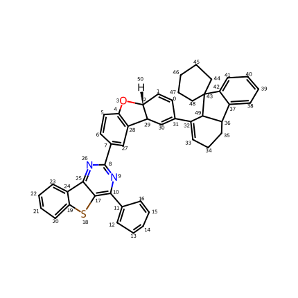 C1=C[C@H]2Oc3ccc(-c4nc(-c5ccccc5)c5sc6ccccc6c5n4)cc3C2C=C1C1=CCCC2c3ccccc3C3(CCCCC3)C12